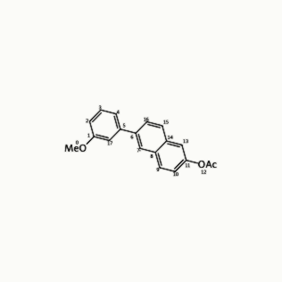 COc1cccc(-c2[c]c3ccc(OC(C)=O)cc3cc2)c1